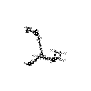 CC(C)Cc1ccc(CC(=O)NCCCC[C@H](NC(=O)[C@H](CCCCNC(=S)Nc2ccc(CC3CN(CC(=O)O)CCN(CC(=O)O)CCN(CC(=O)O)CCN3CC(=O)O)cc2)NC(=O)CCOCCOCCOCCNC(=O)COc2ccc3c(C(=O)NCC(=O)N4CCC[C@H]4B(O)O)ccnc3c2)C(=O)O)cc1